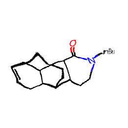 CCCCN1CCC2C3CC4(CC5=CCC3C4C5)C2C1=O